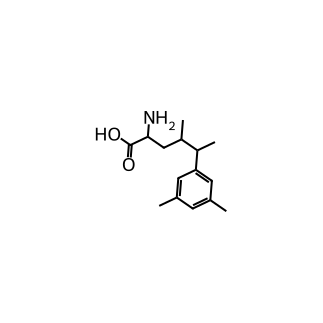 Cc1cc(C)cc(C(C)C(C)CC(N)C(=O)O)c1